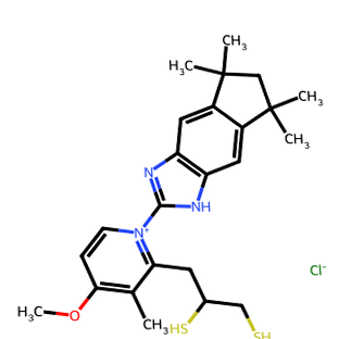 COc1cc[n+](-c2nc3cc4c(cc3[nH]2)C(C)(C)CC4(C)C)c(CC(S)CS)c1C.[Cl-]